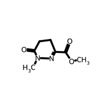 COC(=O)C1=NN(C)C(=O)CC1